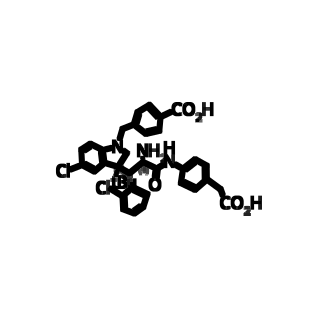 CC(C)(C)[C@]1([C@@H](c2ccccc2Cl)[C@@H](N)C(=O)Nc2ccc(CC(=O)O)cc2)CN(Cc2ccc(C(=O)O)cc2)c2ccc(Cl)cc21